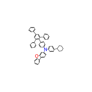 c1ccc(-c2cc(-c3ccccc3)c(-c3ccc(N(c4ccc(C5CCCCC5)cc4)c4ccc5c(c4)oc4ccccc45)cc3)c(-c3ccccc3)c2)cc1